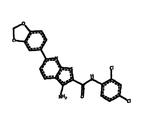 Nc1c(C(=O)Nc2ccc(Cl)cc2Cl)sc2nc(-c3ccc4c(c3)OCO4)ccc12